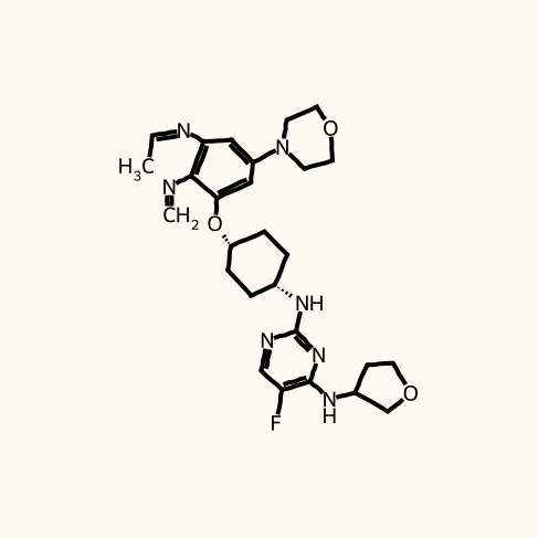 C=Nc1c(/N=C\C)cc(N2CCOCC2)cc1O[C@H]1CC[C@@H](Nc2ncc(F)c(NC3CCOC3)n2)CC1